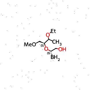 B[C@@H](CO)O[C@@H](COC)C(C)OCC